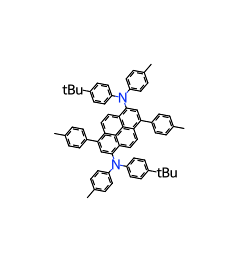 Cc1ccc(-c2cc(N(c3ccc(C)cc3)c3ccc(C(C)(C)C)cc3)c3ccc4c(-c5ccc(C)cc5)cc(N(c5ccc(C)cc5)c5ccc(C(C)(C)C)cc5)c5ccc2c3c45)cc1